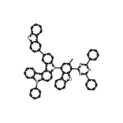 Cc1cc(-n2c3ccc(-c4ccc5sc6ccccc6c5c4)cc3c3c4c5ccccc5n(-c5ccccc5)c4ccc32)c2c(oc3ccccc32)c1-c1nc(-c2ccccc2)nc(-c2ccccc2)n1